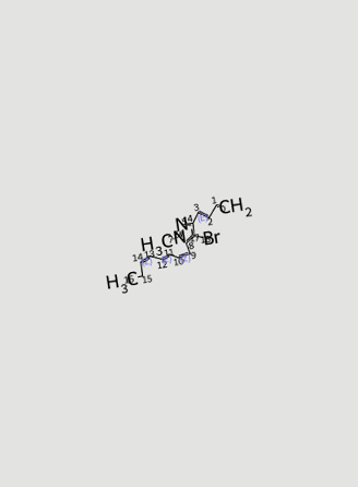 C=C/C=C/c1nn(C)c(\C=C/C=C/C=C\CC)c1Br